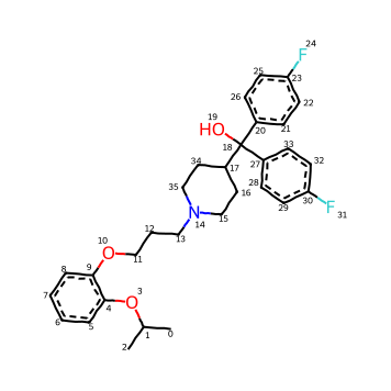 CC(C)Oc1ccccc1OCCCN1CCC(C(O)(c2ccc(F)cc2)c2ccc(F)cc2)CC1